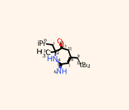 CC(C)CC1(C)NC(=N)C=C(CC(C)(C)C)CC1=O